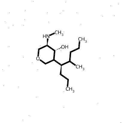 CCCC(C)[C@@H](CCC)C1COC[C@@H](NC)[C@@H]1O